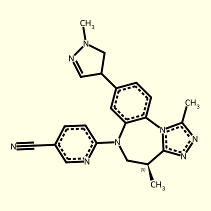 Cc1nnc2n1-c1ccc(C3C=NN(C)C3)cc1N(c1ccc(C#N)cn1)C[C@@H]2C